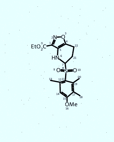 CCOC(=O)c1noc2c1NC(S(=O)(=O)c1c(C)cc(OC)c(C)c1C)CC2